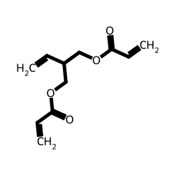 C=CC(=O)OCC(C=C)COC(=O)C=C